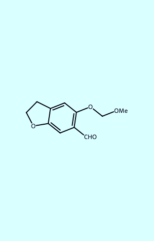 COCOc1cc2c(cc1C=O)OCC2